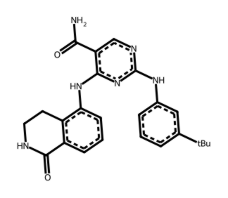 CC(C)(C)c1cccc(Nc2ncc(C(N)=O)c(Nc3cccc4c3CCNC4=O)n2)c1